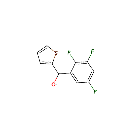 [O]C(c1cccs1)c1cc(F)cc(F)c1F